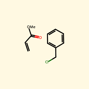 C=CC(=O)OC.ClCc1ccccc1